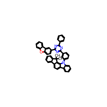 CC1(C)c2ccccc2-c2ccc3c4ccccc4n(-c4cccc(-c5nc(-c6ccccc6)nc(-c6ccc7oc8ccccc8c7c6)n5)c4)c3c21